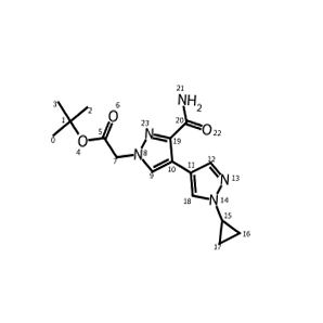 CC(C)(C)OC(=O)Cn1cc(-c2cnn(C3CC3)c2)c(C(N)=O)n1